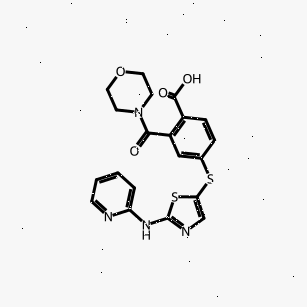 O=C(O)c1ccc(Sc2cnc(Nc3ccccn3)s2)cc1C(=O)N1CCOCC1